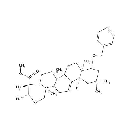 COC(=O)[C@]1(C)C2CC[C@@]3(C)C4CC[C@@]5(C)[C@H](OCc6ccccc6)CC(C)(C)C[C@H]5C4=CCC3[C@@]2(C)CC[C@@H]1O